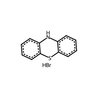 Br.c1ccc2c(c1)Nc1ccccc1S2